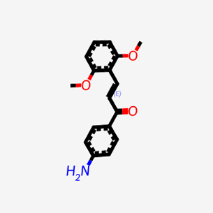 COc1cccc(OC)c1/C=C/C(=O)c1ccc(N)cc1